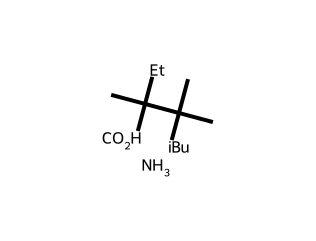 CCC(C)C(C)(C)C(C)(CC)C(=O)O.N